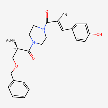 CC(=O)N[C@H](COCc1ccccc1)C(=O)N1CCN(C(=O)C(C#N)=Cc2ccc(O)cc2)CC1